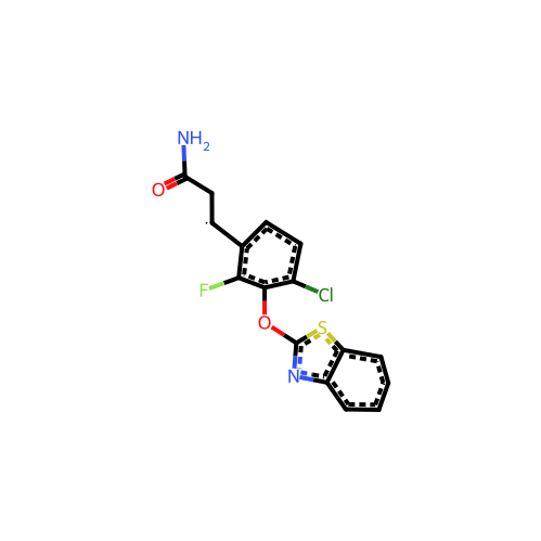 NC(=O)C[CH]c1ccc(Cl)c(Oc2nc3ccccc3s2)c1F